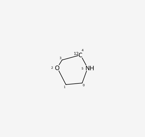 C1COC[12CH2]N1